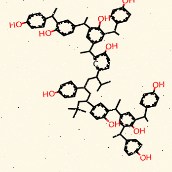 CC(c1cc(C(C)c2ccc(O)cc2)c(O)c(C(C)c2ccc(O)cc2)c1)c1cc(C(CC(CC(c2ccc(O)c(C(C)c3cc(C(C)c4ccc(O)cc4)c(O)c(C(C)c4ccc(O)c(C(C)c5ccc(O)cc5)c4)c3)c2)C(C)C)c2ccc(O)cc2)CC(C)(C)C)ccc1O